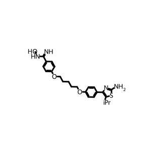 CC(C)c1sc(N)nc1-c1ccc(OCCCCCOc2ccc(C(=N)NO)cc2)cc1